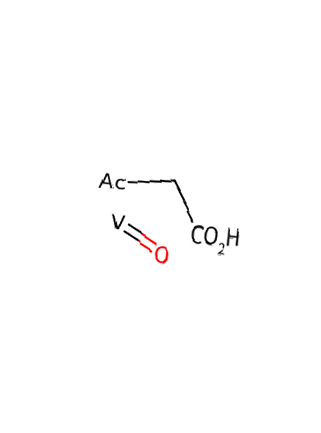 CC(=O)CC(=O)O.[O]=[V]